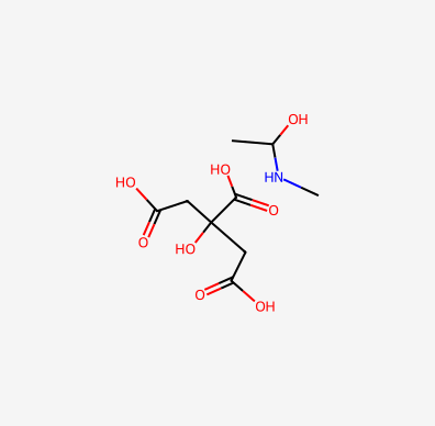 CNC(C)O.O=C(O)CC(O)(CC(=O)O)C(=O)O